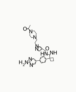 CC(=O)N1CCN(CCn2cc(C(=O)NC(=N)C3(c4ccc(-c5cnc(N)nc5)cc4)CCC3)cn2)CC1